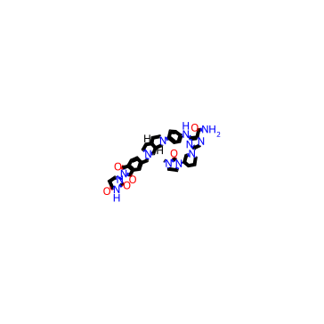 CN1CCN([C@@H]2CCCN(c3cnc(C(N)=O)c(Nc4ccc(N5CC[C@@H]6CCN(Cc7ccc8c(c7)C(=O)N(N7CCC(=O)NC7=O)C8=O)C[C@@H]6C5)cc4)n3)C2)C1=O